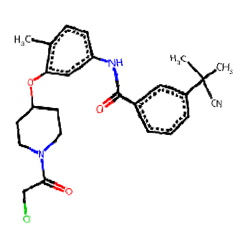 Cc1ccc(NC(=O)c2cccc(C(C)(C)C#N)c2)cc1OC1CCN(C(=O)CCl)CC1